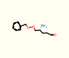 N[C@H](CCC=O)COOCc1ccccc1